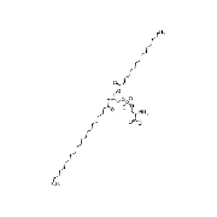 CCCCCCCCCCCCCCCCCCCCC(=O)O[C@H](COC(=O)CCCCCCCCCCCCCC)COP(=O)(O)OC[C@H](N)C(=O)O